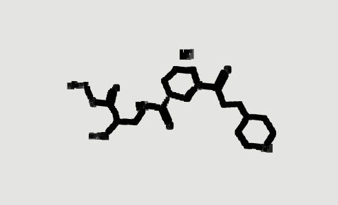 CCCCCOC(=O)C(CNC(=O)[C@@H]1CCCN(C(=O)CCC2CCNCC2)C1)NC(C)=O.Cl